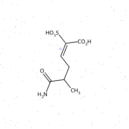 CC(C/C=C(\C(=O)O)S(=O)(=O)O)C(N)=O